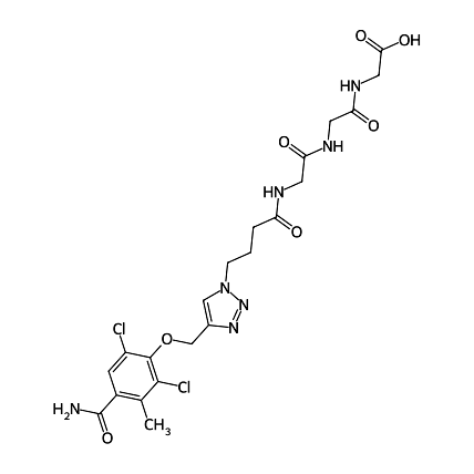 Cc1c(C(N)=O)cc(Cl)c(OCc2cn(CCCC(=O)NCC(=O)NCC(=O)NCC(=O)O)nn2)c1Cl